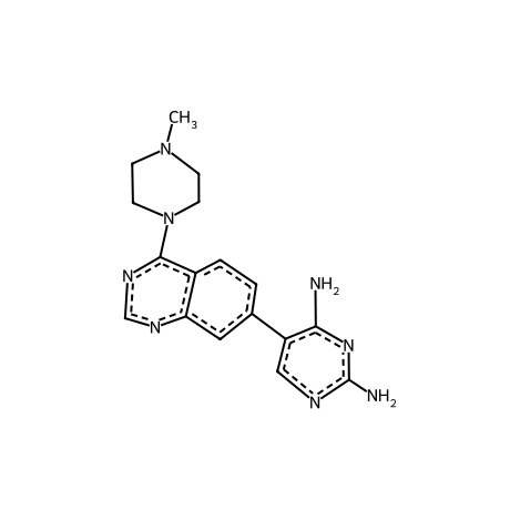 CN1CCN(c2ncnc3cc(-c4cnc(N)nc4N)ccc23)CC1